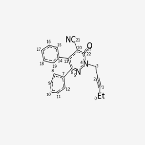 CCC#CCn1nc(-c2ccccc2)c(-c2ccccc2)c(C#N)c1=O